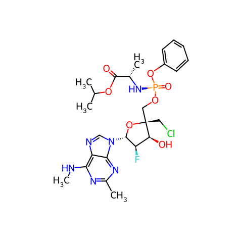 CNc1nc(C)nc2c1ncn2[C@@H]1O[C@](CCl)(CO[P@](=O)(N[C@@H](C)C(=O)OC(C)C)Oc2ccccc2)[C@@H](O)[C@H]1F